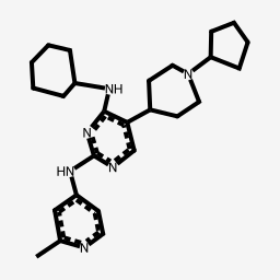 Cc1cc(Nc2ncc(C3CCN(C4CCCC4)CC3)c(NC3CCCCC3)n2)ccn1